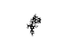 COCc1cc(-c2cnc(C)nc2)cc2c(C(C)=O)nn(CC(=O)N3[C@H](C(=O)Nc4nc(Br)ccc4C)C[C@@]4(COC)C[C@@H]34)c12